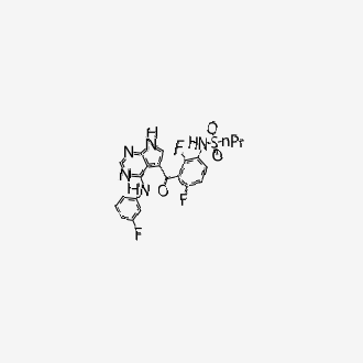 CCCS(=O)(=O)Nc1ccc(F)c(C(=O)c2c[nH]c3ncnc(Nc4cccc(F)c4)c23)c1F